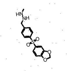 CNNCc1ccc(S(=O)(=O)c2ccc3c(c2)OCO3)cc1